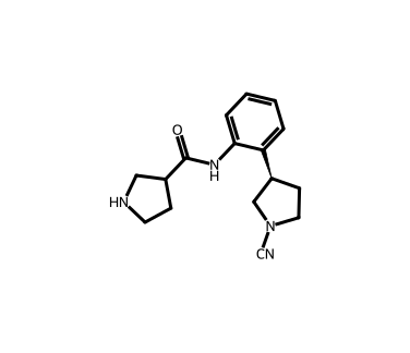 N#CN1CC[C@H](c2ccccc2NC(=O)C2CCNC2)C1